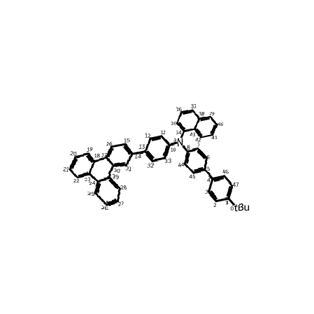 CC(C)(C)c1ccc(-c2ccc(N(c3ccc(-c4ccc5c6ccccc6c6ccccc6c5c4)cc3)c3cccc4ccccc34)cc2)cc1